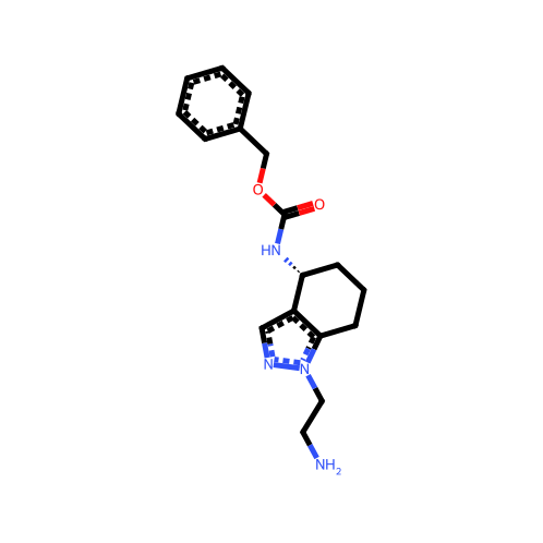 NCCn1ncc2c1CCC[C@H]2NC(=O)OCc1ccccc1